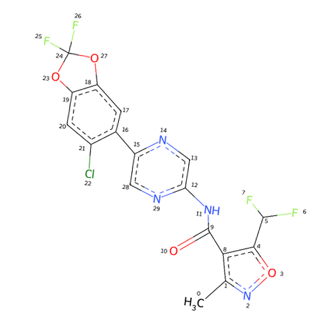 Cc1noc(C(F)F)c1C(=O)Nc1cnc(-c2cc3c(cc2Cl)OC(F)(F)O3)cn1